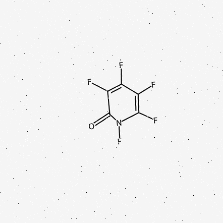 O=c1c(F)c(F)c(F)c(F)n1F